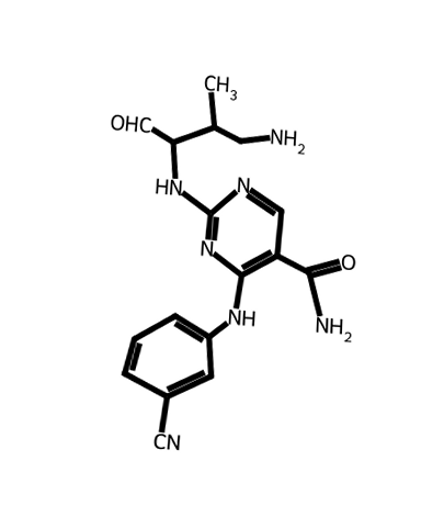 CC(CN)C(C=O)Nc1ncc(C(N)=O)c(Nc2cccc(C#N)c2)n1